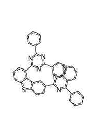 c1ccc(-c2nc(-c3ccccc3)nc(-c3cccc4sc5ccc(-c6nc(-c7ccccc7)c7cccnc7n6)cc5c34)n2)cc1